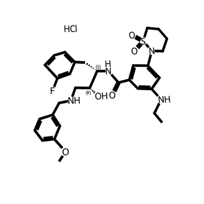 CCNc1cc(C(=O)N[C@@H](Cc2cccc(F)c2)[C@H](O)CNCc2cccc(OC)c2)cc(N2CCCCS2(=O)=O)c1.Cl